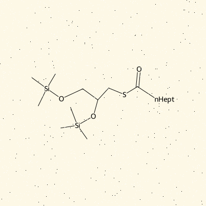 CCCCCCCC(=O)SCC(CO[Si](C)(C)C)O[Si](C)(C)C